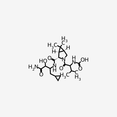 CC(C)C(NC(=O)O)C(=O)N1C[C@H]2[C@@H]([C@H]1C(=O)NC(CC1CC1)C(O)C(N)=O)C2(C)C